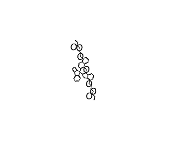 C=CC(=O)OCCOc1cccc2c3c(ccc12)C1(c2ccccc2-c2ccccc21)c1ccc2c(OCCOC(=O)C=C)cccc2c1O3